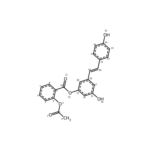 CC(=O)Oc1ccccc1C(=O)Oc1cc(O)cc(C=Cc2ccc(O)cc2)c1